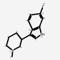 CN1CCCC(c2c[nH]c3cc(F)ccc23)C1